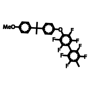 COc1ccc(C(C)(C)c2ccc(Oc3c(F)c(F)c(-c4c(F)c(F)c(C)c(F)c4F)c(F)c3F)cc2)cc1